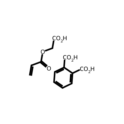 C=CC(=O)OCC(=O)O.O=C(O)c1ccccc1C(=O)O